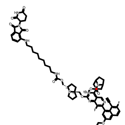 C#Cc1c(F)ccc2cc(OCOC)cc(-c3ncc4c(N5CC6CCC(C5)N6C(=O)OC(C)(C)C)nc(OC[C@@]56CCCN5[C@H](COC(=O)NCCCCCCCCCNc5cccc7c5C(=O)N(C5CCC(=O)NC5=O)C7=O)CC6)nc4c3F)c12